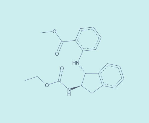 CCOC(=O)N[C@@H]1Cc2ccccc2[C@H]1Nc1ccccc1C(=O)OC